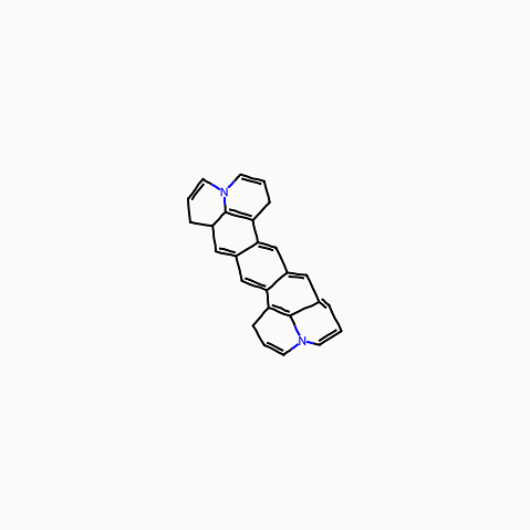 C1=CN2C=CCc3c2c(cc2cc4c(cc32)=CC2CC=CN3C=CCC4=C23)=C1